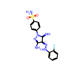 N=C1/C(=N/Nc2ccccc2F)C(N)=NN1c1ccc(S(N)(=O)=O)cc1